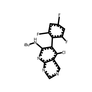 CCC(C)Nc1nc2ncncc2c(Cl)c1-c1c(F)cc(F)cc1F